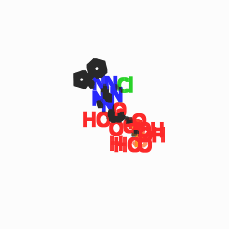 O=P(O)(O)CP(=O)(O)OC[C@H]1O[C@@H](n2cnc3c(N4CC5(CCCC5)c5ccccc54)nc(Cl)nc32)[C@@H](O)C1O